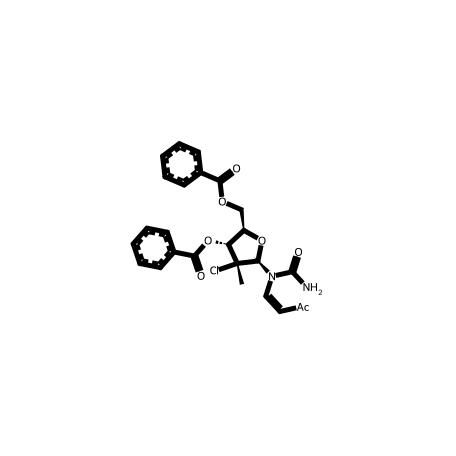 CC(=O)/C=C\N(C(N)=O)[C@@H]1O[C@H](COC(=O)c2ccccc2)[C@@H](OC(=O)c2ccccc2)[C@@]1(C)Cl